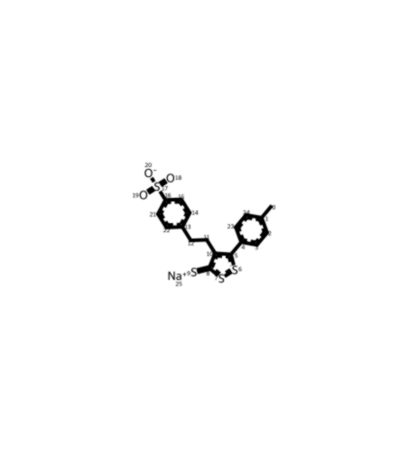 Cc1ccc(-c2ssc(=S)c2CCc2ccc(S(=O)(=O)[O-])cc2)cc1.[Na+]